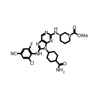 COC(=O)N1CCC[C@@H](Nc2ncc3nc(Nc4c(F)cc(C#N)cc4Cl)n(C4CCC(C(N)=O)CC4)c3n2)C1